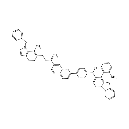 C=C(CCC1=C(C)c2c(ccn2Sc2ccccc2)CC1)c1ccc2ccc(-c3ccc(C(CC)c4ccc5c(c4-c4ccccc4N)Cc4ccccc4-5)cc3)cc2c1